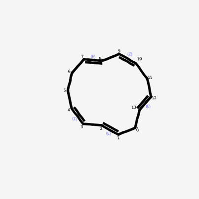 [CH]1/C=C/C=C\CC/C=C/C=C\C/C=C/1